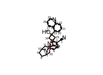 N#Cc1ccc(N2C3CCC2CN(C(=O)C2CC(O)(c4cccc5ncccc45)C2)C3)nc1